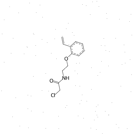 C=Cc1ccccc1OCCNC(=O)CCl